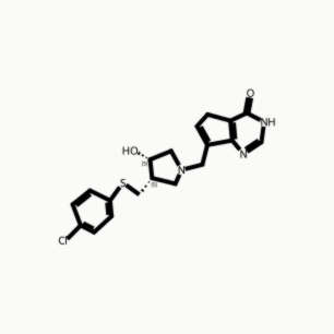 O=c1[nH]cnc2c1CC=C2CN1C[C@H](CSc2ccc(Cl)cc2)[C@H](O)C1